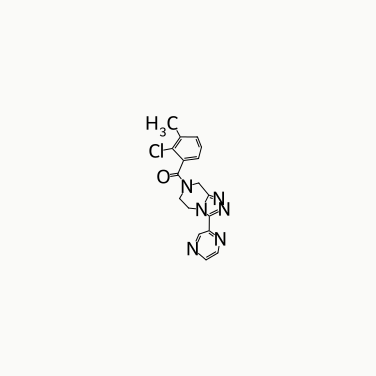 Cc1cccc(C(=O)N2CCn3c(nnc3-c3cnccn3)C2)c1Cl